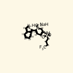 O=S(=O)(CCCC(F)(F)F)NC1=CC=C(c2cccc3ccccc23)N(O)C1.[NaH]